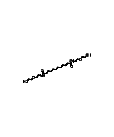 O=C(CCCCCCCCCCC(=O)NCCOCCO)NCCOCCO